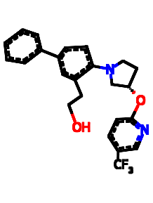 OCCc1cc(-c2ccccc2)ccc1N1CC[C@H](Oc2ccc(C(F)(F)F)cn2)C1